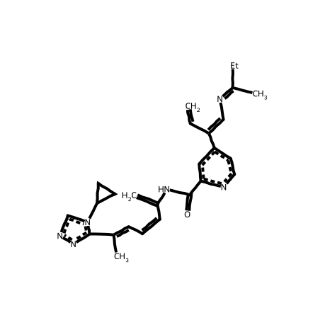 C=C/C(=C\N=C(/C)CC)c1ccnc(C(=O)NC(=C)/C=C\C=C(/C)c2nncn2C2CC2)c1